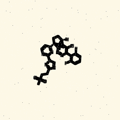 CC1(C)[C@H]2CC[C@]1(c1ccnc(-n3cnc(CCS(C)(=O)=O)n3)n1)c1nnc(-c3c(F)cccc3F)c(Cl)c12